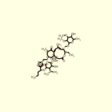 CCCCc1cn(CC[C@H]2C[C@@H](C)C(=O)/C3=C/C(C)=C/[C@H](COC4OC(C)C(O)C(OC)C4OC)[C@@H](CC)OC(=O)C[C@@H](O)[C@H]3[C@H]2O[C@@H]2O[C@H](C)C(O)C(N(C)C)C2O)nn1